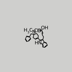 CN(C)C1(Cc2ccccc2)CC=C(c2[nH]c3ccccc3c2CCCC(=O)O)CC1